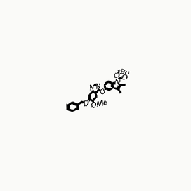 COc1cc2c(Oc3ccc4c(c3)c(C)c(C)n4C(=O)OC(C)(C)C)ncnc2cc1OCc1ccccc1